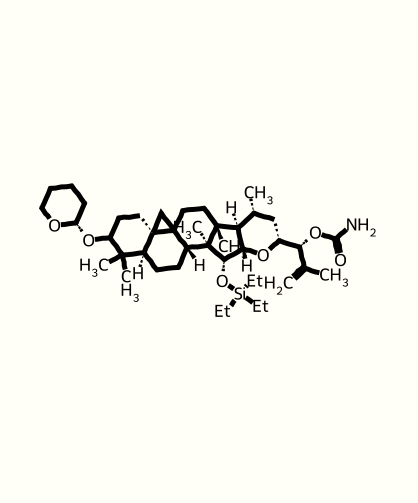 C=C(C)[C@@H](OC(N)=O)[C@H]1C[C@@H](C)[C@H]2[C@H](O1)[C@H](O[Si](CC)(CC)CC)[C@@]1(C)[C@@H]3CC[C@H]4C(C)(C)C(O[C@H]5CCCCO5)CC[C@@]45CC35CC[C@]21C